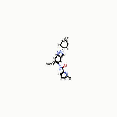 CC[C@H]1CC[C@H](n2cc3cc(NC(=O)c4cccc(C)n4)c(OC)cc3n2)CC1